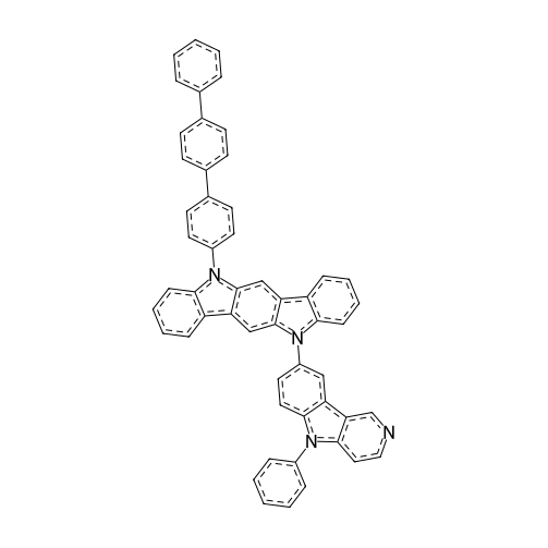 c1ccc(-c2ccc(-c3ccc(-n4c5ccccc5c5cc6c(cc54)c4ccccc4n6-c4ccc5c(c4)c4cnccc4n5-c4ccccc4)cc3)cc2)cc1